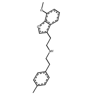 COc1cccc2c(CCNCCc3ccc(C)cc3)coc12